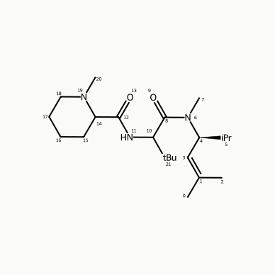 CC(C)=C[C@H](C(C)C)N(C)C(=O)C(NC(=O)C1CCCCN1C)C(C)(C)C